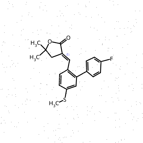 CSc1ccc(/C=C2\CC(C)(C)OC2=O)c(-c2ccc(F)cc2)c1